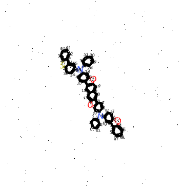 c1ccc(N(c2ccc3c(c2)oc2cc4cc5c(cc4cc23)oc2cc(N(c3ccccc3)c3ccc4sc6ccccc6c4c3)ccc25)c2ccc3oc4ccccc4c3c2)cc1